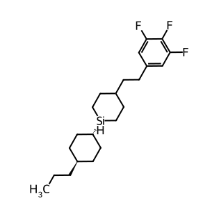 CCC[C@H]1CC[C@H]([SiH]2CCC(CCc3cc(F)c(F)c(F)c3)CC2)CC1